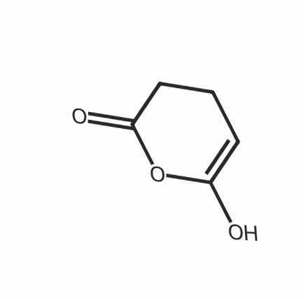 O=C1CCC=C(O)O1